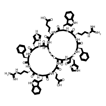 N=C(N)NCCC[C@@H]1NC(=O)[C@@H](Cc2ccccc2)NC[C@](C=O)(Cc2c[nH]cn2)NC(=O)[C@@H]2CSS[C@H](NC(=O)[C@H](CCCC(=O)O)NC(=O)[C@H](Cc3c[nH]c4ccccc34)NC1=O)C(=O)N[C@@H](Cc1c[nH]cn1)C(=O)N[C@H](Cc1ccccc1)C(=O)N[C@@H](CCCNC(=N)N)C(=O)N[C@@H](Cc1c[nH]c3ccccc13)C(=O)N[C@@H](CCC(=O)O)C(=O)N2